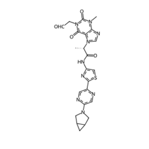 C[C@@H](C(=O)Nc1csc(-c2cnc(N3CC4CC4C3)cn2)n1)n1cnc2c1c(=O)n(CC=O)c(=O)n2C